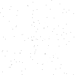 C=CCCCCC[C@H](NC(=O)OC(C)(C)C)C(=O)N1C[C@H](OC(=O)N2Cc3cccc(F)c3C2)C[C@H]1C(=O)N[C@]1(P)C[C@H]1C=C